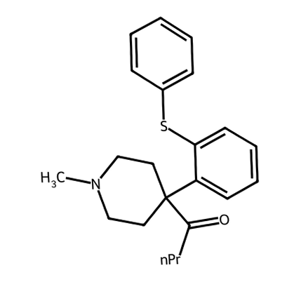 CCCC(=O)C1(c2ccccc2Sc2ccccc2)CCN(C)CC1